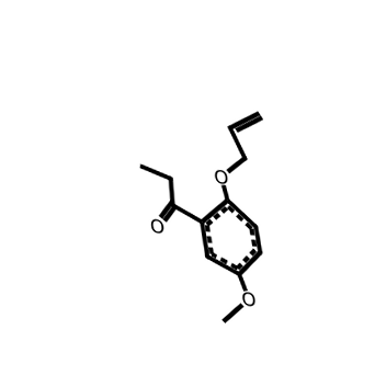 C=CCOc1ccc(OC)cc1C(=O)CC